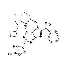 C[C@@H](Nc1nc(-c2noc(=O)[nH]2)nc2nc(C3(c4ccccn4)CC3)n(C[C@H]3CC[C@H](C)CC3)c12)C1CCC1